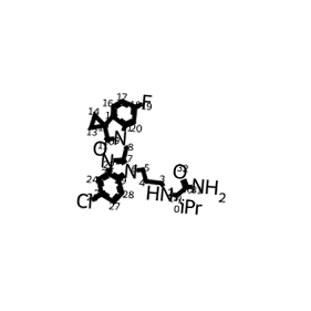 CC(C)[C@H](NCCCn1c(CN2C(=O)C3(CC3)c3ccc(F)cc32)nc2cc(Cl)ccc21)C(N)=O